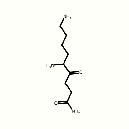 NCCCCC(N)C(=O)CCC(N)=O